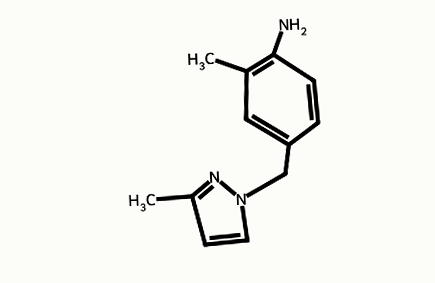 Cc1ccn(Cc2ccc(N)c(C)c2)n1